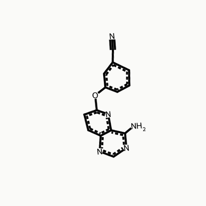 N#Cc1cccc(Oc2ccc3ncnc(N)c3n2)c1